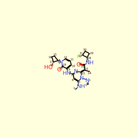 C=NN1C(NC)=CC(Nc2cccn([C@@H]3CC[C@@H]3O)c2=O)=N/C1=C(/C)C(=O)NC1CC[C@@H]1F